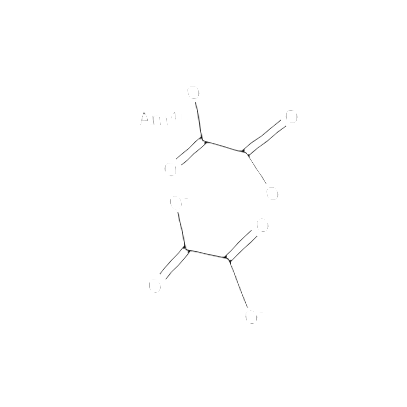 O=C([O-])C(=O)[O-].O=C([O-])C(=O)[O-].[Am+4]